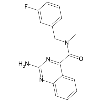 CN(Cc1cccc(F)c1)C(=O)c1nc(N)nc2ccccc12